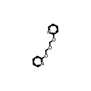 c1ccc(OCOCOc2ccccn2)nc1